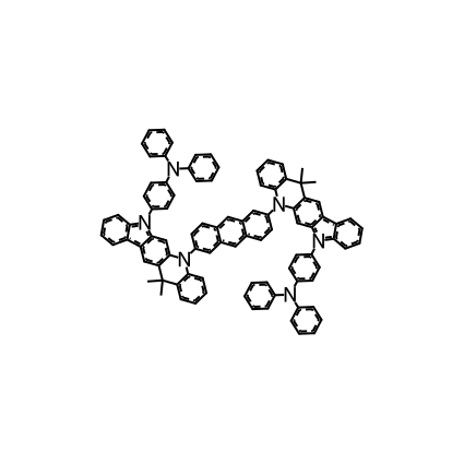 CC1(C)c2ccccc2N(c2ccc3cc4cc(N5c6ccccc6C(C)(C)c6cc7c8ccccc8n(-c8ccc(N(c9ccccc9)c9ccccc9)cc8)c7cc65)ccc4cc3c2)c2cc3c(cc21)c1ccccc1n3-c1ccc(N(c2ccccc2)c2ccccc2)cc1